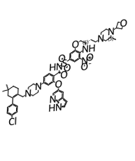 C[C@H]1CN(CC[C@H]2COc3cc(S(=O)(=O)NC(=O)c4ccc(N5CCN(CC6=C(c7ccc(Cl)cc7)CC(C)(C)CC6)CC5)cc4Oc4cnc5[nH]ccc5c4)cc([N+](=O)[O-])c3N2)CCN1C1COC1